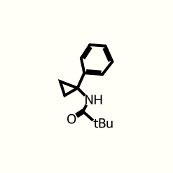 CC(C)(C)C(=O)NC1(c2ccccc2)CC1